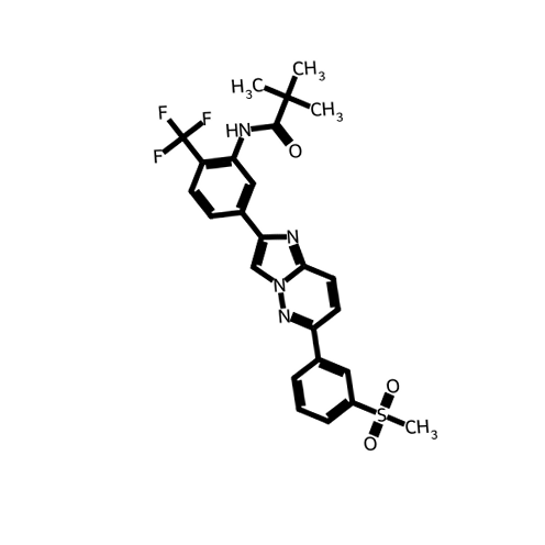 CC(C)(C)C(=O)Nc1cc(-c2cn3nc(-c4cccc(S(C)(=O)=O)c4)ccc3n2)ccc1C(F)(F)F